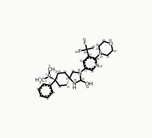 CN(C)[C@]1(c2ccccc2)CC[C@]2(CC1)CN(c1cnc(N3CCOCC3)c(C(F)(F)F)c1)C(O)N2